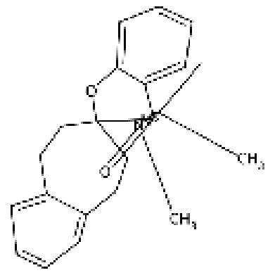 CC1=NC2(C(=O)N1C)c1ccccc1OC21CCc2ccccc2CC1